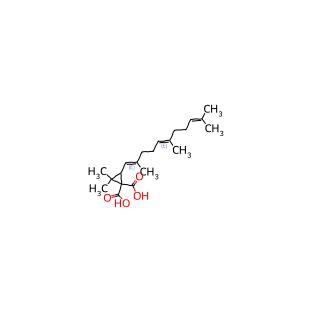 CC(C)=CCC/C(C)=C/CC/C(C)=C/C1C(C)(C)C1(C(=O)O)C(=O)O